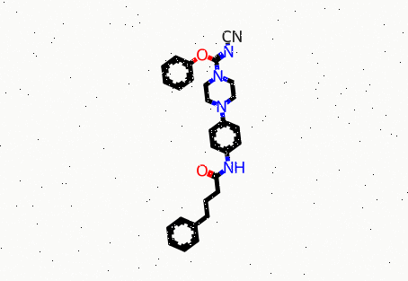 N#C/N=C(\Oc1ccccc1)N1CCN(c2ccc(NC(=O)CCCc3ccccc3)cc2)CC1